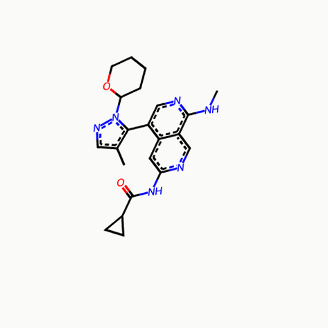 CNc1ncc(-c2c(C)cnn2C2CCCCO2)c2cc(NC(=O)C3CC3)ncc12